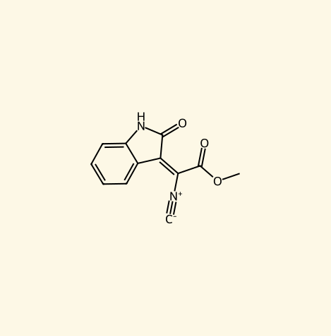 [C-]#[N+]/C(C(=O)OC)=C1/C(=O)Nc2ccccc21